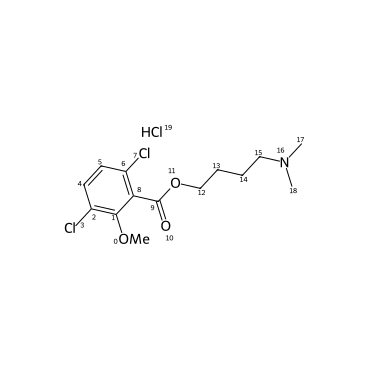 COc1c(Cl)ccc(Cl)c1C(=O)OCCCCN(C)C.Cl